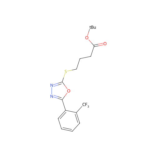 CC(C)(C)OC(=O)CCCSc1nnc(-c2ccccc2C(F)(F)F)o1